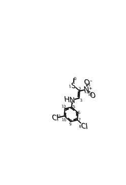 CSC(=CNc1cc(Cl)cc(Cl)c1)[N+](=O)[O-]